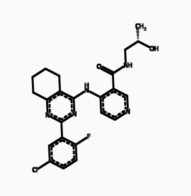 C[C@H](O)CNC(=O)c1cnccc1Nc1nc(-c2cc(Cl)ccc2F)nc2c1CCCC2